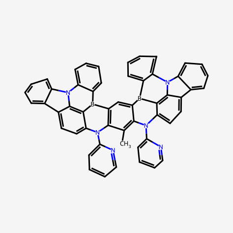 Cc1c2c(cc3c1N(c1ccccn1)c1ccc4c5ccccc5n5c4c1B3c1ccccc1-5)B1c3ccccc3-n3c4ccccc4c4ccc(c1c43)N2c1ccccn1